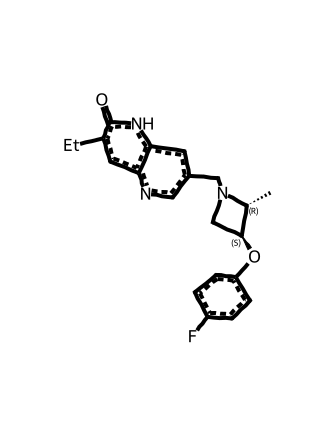 CCc1cc2ncc(CN3C[C@H](Oc4ccc(F)cc4)[C@H]3C)cc2[nH]c1=O